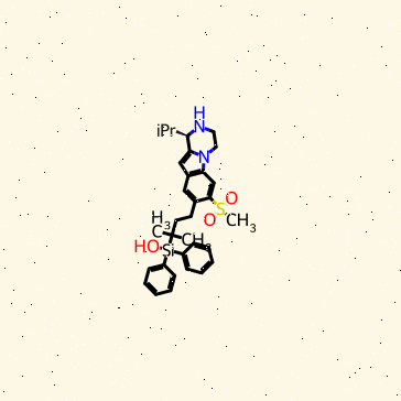 CC(C)[C@H]1NCCn2c1cc1cc(CCC(C)(C)[Si](O)(c3ccccc3)c3ccccc3)c(S(C)(=O)=O)cc12